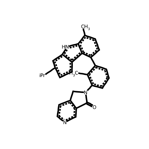 Cc1c(-c2ccc(C)c3[nH]c4cc(C(C)C)ccc4c23)cccc1N1Cc2ccncc2C1=O